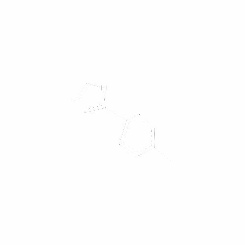 Cc1ccc(C2=CC=CB2)cc1